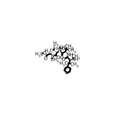 CN[C@H](C(=O)N[C@H](C(=O)N(C)[C@H](C(=O)N(C)CC(=O)OC)C(C)C)C(C)(C)C)C(C)(C)c1ccccc1